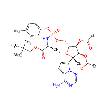 CCC(=O)O[C@H]1[C@@H](OC(=O)CC)[C@](C#N)(c2ccc3c(N)ncnn23)O[C@@H]1COP(=O)(N[C@@H](C)C(=O)OCC(C)(C)OC)Oc1ccc(C(C)(C)C)cc1